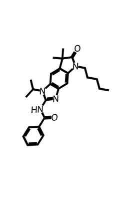 CCCCCN1C(=O)C(C)(C)c2cc3c(cc21)nc(NC(=O)c1ccccc1)n3C(C)C